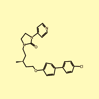 C[C@H](CCOc1ccc(-c2ccc(Cl)cc2)cc1)CCN1CCN(c2ccncc2)C1=O